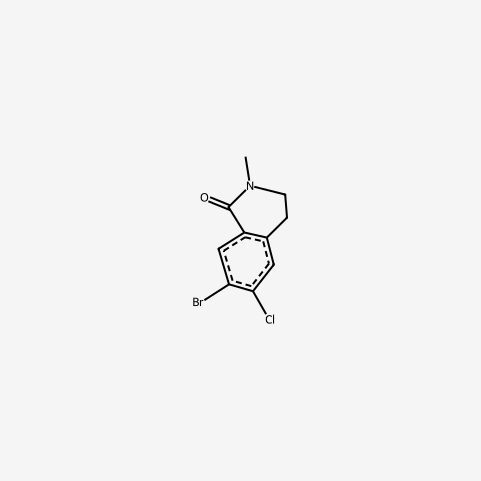 CN1CCc2cc(Cl)c(Br)cc2C1=O